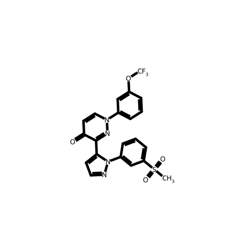 CS(=O)(=O)c1cccc(-n2nccc2-c2nn(-c3cccc(OC(F)(F)F)c3)ccc2=O)c1